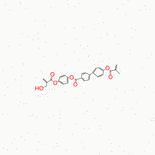 C=C(C)C(=O)Oc1ccc(-c2ccc(C(=O)Oc3ccc(OC(=O)C(=C)CO)cc3)cc2)cc1